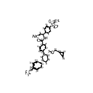 CCS(=O)(=O)c1ccc(C(CC#N)NC(=O)c2ccc(N3C[C@@H](c4ccc(C(F)(F)F)cc4)CC[C@H]3COCC3CC3)cc2)cc1